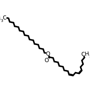 CCCCC/C=C\C/C=C\CCCCCCCC(=O)OCCCCCCCCCCCCCCCCC